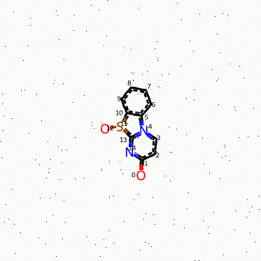 O=c1ccn2c3ccccc3[s+]([O-])c2n1